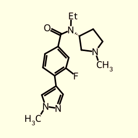 CCN(C(=O)c1ccc(-c2cnn(C)c2)c(F)c1)[C@@H]1CCN(C)C1